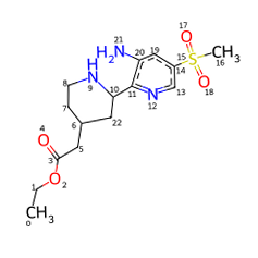 CCOC(=O)CC1CCNC(c2ncc(S(C)(=O)=O)cc2N)C1